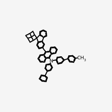 Cc1ccc(-c2ccc(N(c3ccc(-c4ccccc4)cc3)c3c4ccccc4c(-c4ccc5c(c4)-c4ccccc4C54C5CC6CC7CC4C675)c4ccccc34)cc2)cc1